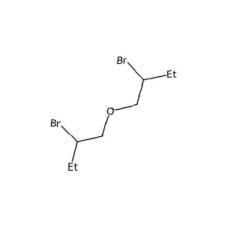 CCC(Br)COCC(Br)CC